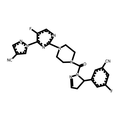 N#Cc1cc(F)cc(C2CC=NN2C(=O)N2CCN(c3ncc(F)c(-n4cc(C#N)cn4)n3)CC2)c1